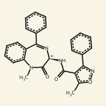 Cc1onc(-c2ccccc2)c1C(=O)N[C@@H]1N=C(c2ccccc2)c2ccccc2N(C)C1=O